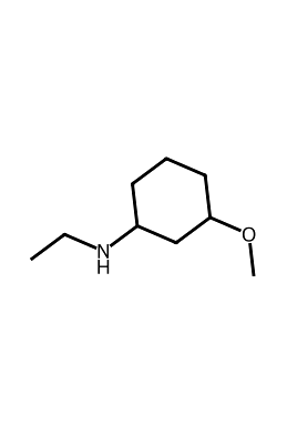 CCNC1CCCC(OC)C1